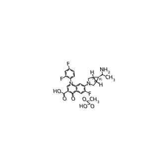 CC(N)[C@H]1[C@@H]2CN(c3cc4c(cc3F)c(=O)c(C(=O)O)cn4-c3ccc(F)cc3F)C[C@@H]21.CS(=O)(=O)O